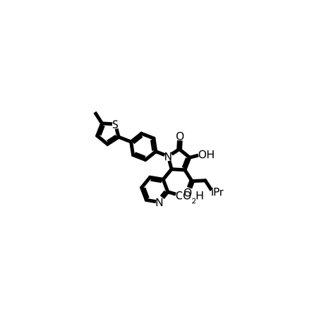 Cc1ccc(-c2ccc(N3C(=O)C(O)=C(C(=O)CC(C)C)C3c3cccnc3C(=O)O)cc2)s1